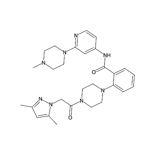 Cc1cc(C)n(CC(=O)N2CCN(c3ccccc3C(=O)Nc3ccnc(N4CCN(C)CC4)c3)CC2)n1